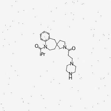 CC(C)C(=O)N1CCC2(CCN(C(=O)CCN3CCNCC3)C2)Cc2ccccc21